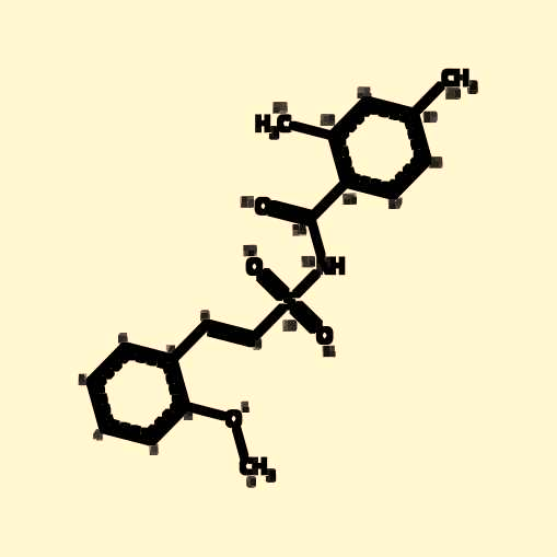 COc1ccccc1C=CS(=O)(=O)NC(=O)c1ccc(C)cc1C